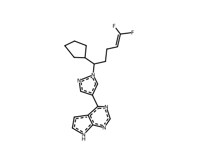 FC(F)=CCCC(C1CCCC1)n1cc(-c2ncnc3[nH]ccc23)cn1